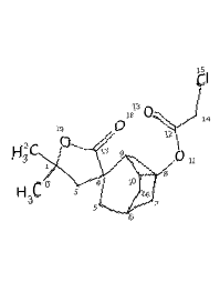 CC1(C)CC2(CC3CCC2C(OC(=O)CCl)C3)C(=O)O1